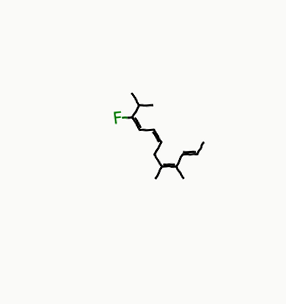 CC=C/C(C)=C(/C)C/C=C\C=C(\F)C(C)C